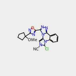 COC1(c2noc(-c3nnc4n3C3=CN(C#N)C(Cl)N3c3ccccc3-4)n2)CCCC1